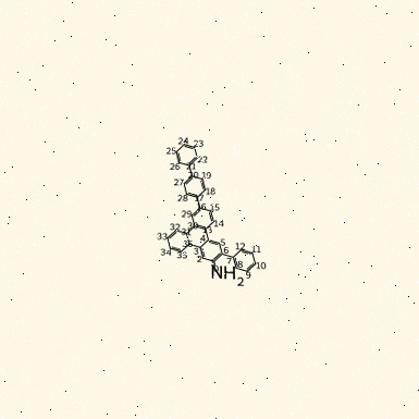 Nc1cc2c(cc1-c1ccccc1)-c1ccc(-c3ccc(-c4ccccc4)cc3)cc1C1C=CC=CC21